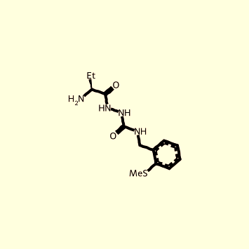 CC[C@H](N)C(=O)NNC(=O)NCc1ccccc1SC